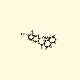 COc1nc2[nH]c(C(F)(F)F)nc2nc1Nc1ccc2ccccc2c1